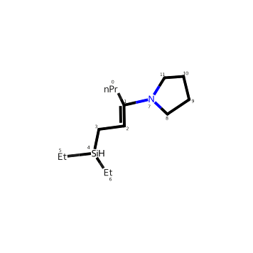 CCCC(=CC[SiH](CC)CC)N1CCCC1